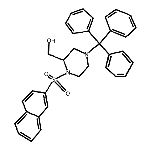 O=S(=O)(c1ccc2ccccc2c1)N1CCN(C(c2ccccc2)(c2ccccc2)c2ccccc2)CC1CO